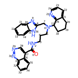 O=C(NCCCN(Cc1nc2ccccc2[nH]1)C1CCCc2cccnc21)c1cnnc2ccccc12